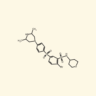 CC1CN(c2ccc(S(=O)(=O)c3ccc(C(C)C)c(S(=O)(=O)NC4CCOCC4)c3)cc2)CC(C)N1